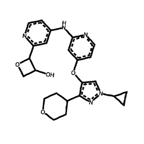 OC1COC1c1cc(Nc2cc(Oc3cn(C4CC4)nc3C3CCOCC3)ccn2)ccn1